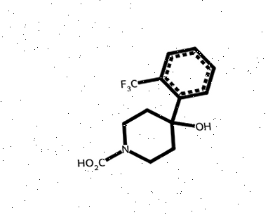 O=C(O)N1CCC(O)(c2ccccc2C(F)(F)F)CC1